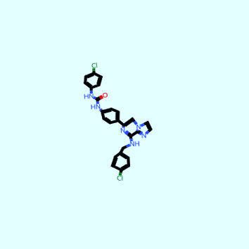 O=C(Nc1ccc(Cl)cc1)Nc1ccc(-c2cn3ccnc3c(NCc3ccc(Cl)cc3)n2)cc1